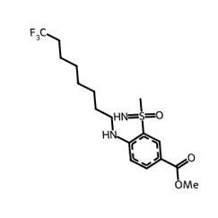 COC(=O)c1ccc(NCCCCCCCC(F)(F)F)c(S(C)(=N)=O)c1